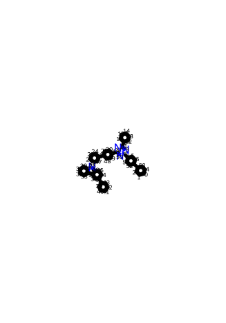 c1ccc(-c2ccc(-c3nc(-c4ccccc4)nc(-c4ccc(-c5cccc(-n6c7ccccc7c7cc(-c8ccccc8)ccc76)c5)cc4)n3)cc2)cc1